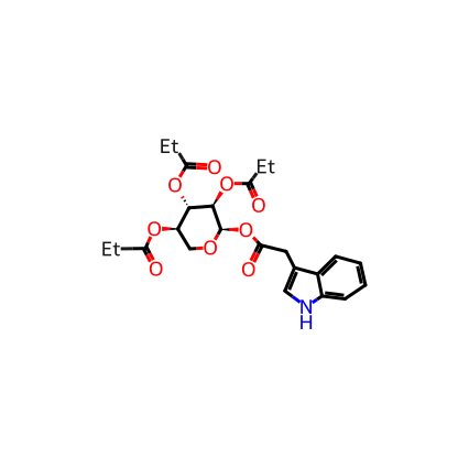 CCC(=O)O[C@@H]1[C@@H](OC(=O)CC)[C@@H](OC(=O)Cc2c[nH]c3ccccc23)OC[C@H]1OC(=O)CC